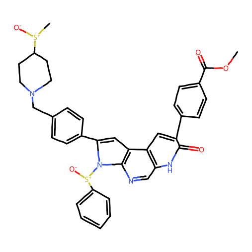 COC(=O)c1ccc(-c2cc3c(cnc4c3cc(-c3ccc(CN5CCC([S+](C)[O-])CC5)cc3)n4[S+]([O-])c3ccccc3)[nH]c2=O)cc1